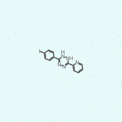 Ic1ccc(C2=NN=C(c3ccccn3)NN2)cc1